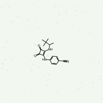 CC(Nc1c(Nc2ccc(C#N)cc2)c(=O)c1=O)C(C)(C)C